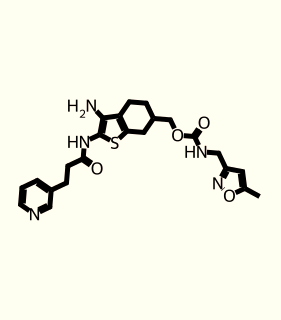 Cc1cc(CNC(=O)OCC2CCc3c(sc(NC(=O)CCc4cccnc4)c3N)C2)no1